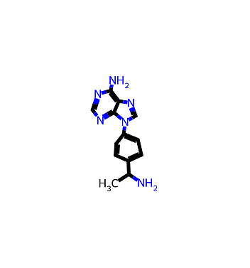 CC(N)c1ccc(-n2cnc3c(N)ncnc32)cc1